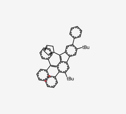 CC(C)(C)c1cc2c(cc1-c1ccccc1)C(C1=CC=CC1)=c1c-2cc(C(C)(C)C)c(-c2ccccc2)c1=C(c1ccccc1)c1ccccc1